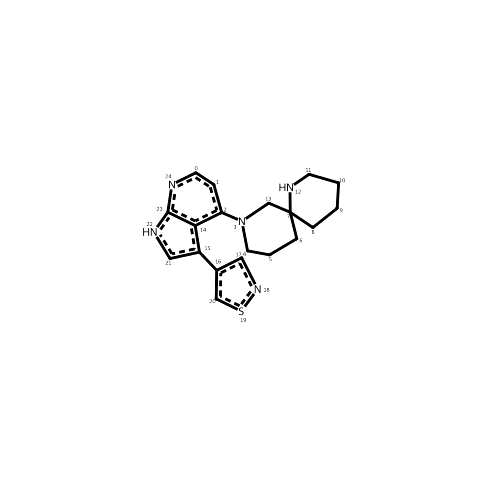 c1cc(N2CCCC3(CCCCN3)C2)c2c(-c3cnsc3)c[nH]c2n1